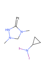 CN1CN(C)[C](=[Pt])N1.IN(I)C1CC1